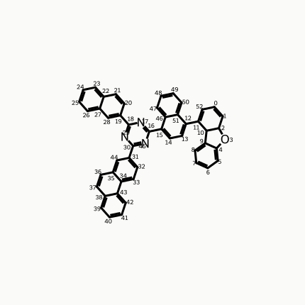 C1=CC2Oc3ccccc3C2C(c2ccc(-c3nc(-c4ccc5ccccc5c4)nc(-c4ccc5c(ccc6ccccc65)c4)n3)c3ccccc23)=C1